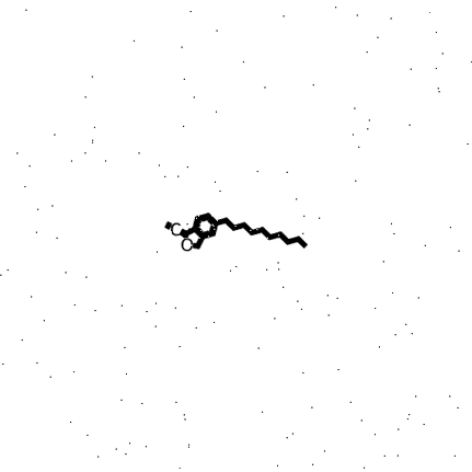 C=C=C1OCc2cc(CCCCCCCCCC)ccc21